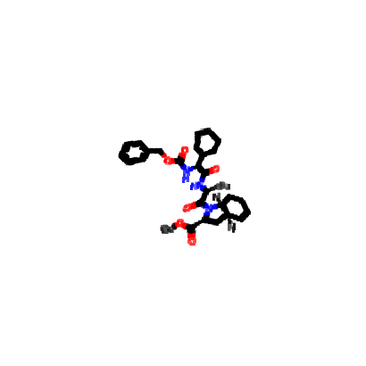 CC(C)(C)OC(=O)[C@@H]1C[C@@H]2CCCC[C@@H]2N1C(=O)[C@@H](NC(=O)[C@@H](NC(=O)OCc1ccccc1)C1CCCCC1)C(C)(C)C